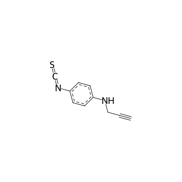 C#CCNc1ccc(N=C=S)cc1